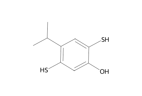 CC(C)c1cc(S)c(O)cc1S